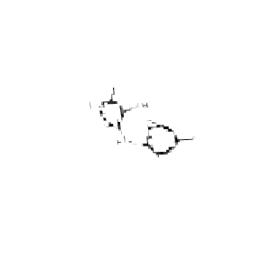 Cc1[nH]nc(Nc2ccc(F)cn2)c1C#N